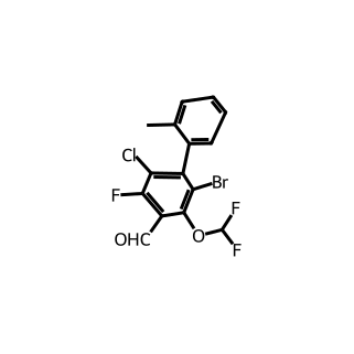 Cc1ccccc1-c1c(Cl)c(F)c(C=O)c(OC(F)F)c1Br